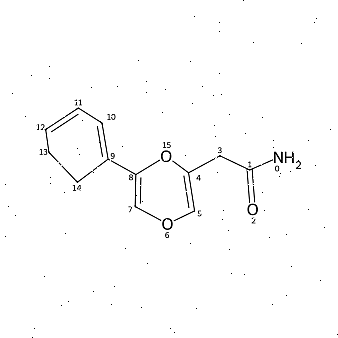 NC(=O)CC1=COC=C(C2=CC=CCC2)O1